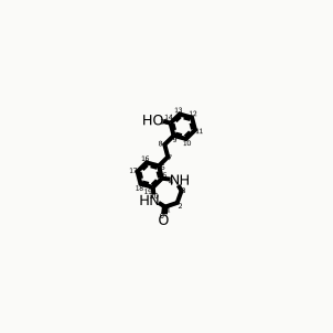 O=C1CCNc2c(CCc3ccccc3O)cccc2N1